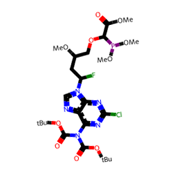 COC(=O)C(OCC(CC(F)n1cnc2c(N(C(=O)OC(C)(C)C)C(=O)OC(C)(C)C)nc(Cl)nc21)OC)P(OC)OC